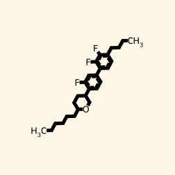 CCCCCCC1CCC(c2ccc(-c3ccc(CCCC)c(F)c3F)cc2F)CO1